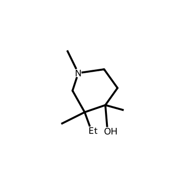 CCC1(C)CN(C)CCC1(C)O